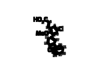 COc1c(/C=C/C(=O)O)cc(Cl)cc1-c1ccc(O)c(C23CC4CC(CC(C4)C2)C3)c1